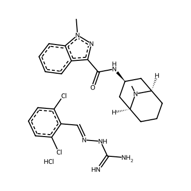 CN1[C@@H]2CCC[C@H]1C[C@@H](NC(=O)c1nn(C)c3ccccc13)C2.Cl.N=C(N)N/N=C/c1c(Cl)cccc1Cl